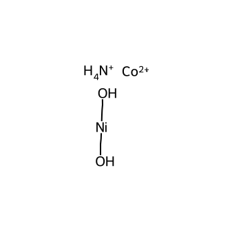 [Co+2].[NH4+].[OH][Ni][OH]